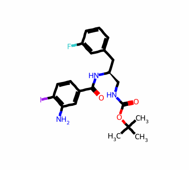 CC(C)(C)OC(=O)NC[C@H](Cc1cccc(F)c1)NC(=O)c1ccc(I)c(N)c1